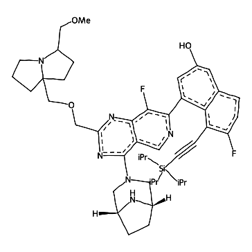 COCC1CCC2(COCc3nc(N4C[C@H]5CC[C@@H](C4)N5)c4cnc(-c5cc(O)cc6ccc(F)c(C#C[Si](C(C)C)(C(C)C)C(C)C)c56)c(F)c4n3)CCCN12